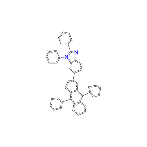 c1ccc(-c2c3ccccc3c(-c3ccccc3)c3cc(-c4ccc5nc(-c6ccccc6)n(-c6ccccc6)c5c4)ccc23)cc1